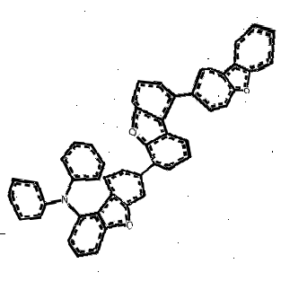 c1ccc(N(c2ccccc2)c2cccc3oc4cc(-c5cccc6c5oc5cccc(-c7ccc8oc9ccccc9c8c7)c56)ccc4c23)cc1